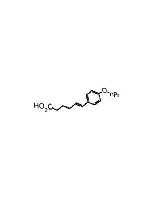 CCCOc1ccc(C=CCCCC(=O)O)cc1